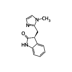 Cn1ccnc1C[C@@H]1C(=O)Nc2ccccc21